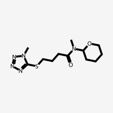 CN(C(=O)CCCSc1nnnn1C)C1CCCCO1